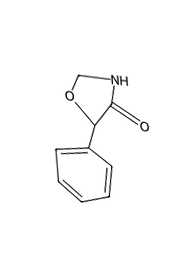 O=C1NCOC1c1ccccc1